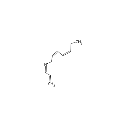 C=C/C=N\C/C=C\C=C/CC